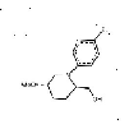 CCc1ccc(N2C[C@@H](OC)CC[C@@H]2CO)cn1